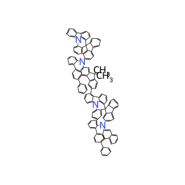 CC1(C)c2ccc(-c3cccc4c3c3cccc5c3n4-c3ccccc3C53c4ccccc4-c4ccc(N(c5ccc6ccccc6c5)c5ccccc5-c5ccc(-c6ccccc6)cc5)cc43)cc2-c2ccc(N(c3ccc4c(c3)C3(c5ccccc5-4)c4ccccc4-n4c5ccccc5c5cccc3c54)c3ccccc3-c3ccc(-c4ccccc4)cc3)cc21